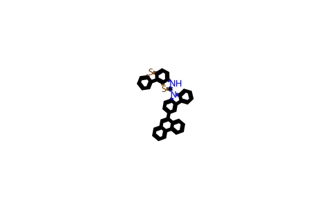 c1ccc2c(c1)cc(-c1ccc3c(c1)c1ccccc1n3C1Nc3ccc4sc5ccccc5c4c3S1)c1ccccc12